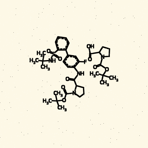 CC(C)(C)NS(=O)(=O)c1ccccc1-c1ccc(NC(=O)C2CCCN2C(=O)OC(C)(C)C)c(F)c1.CC(C)(C)OC(=O)N1CCCC1C(=O)O